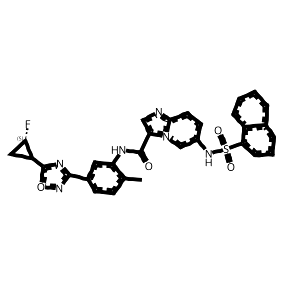 Cc1ccc(-c2noc(C3C[C@@H]3F)n2)cc1NC(=O)c1cnc2ccc(NS(=O)(=O)c3cccc4ccccc34)cn12